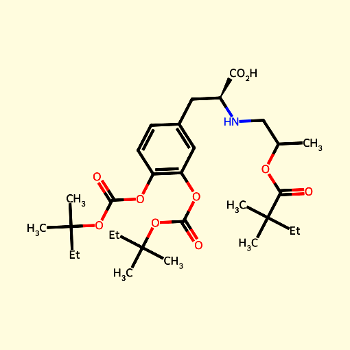 CCC(C)(C)OC(=O)Oc1ccc(C[C@H](NCC(C)OC(=O)C(C)(C)CC)C(=O)O)cc1OC(=O)OC(C)(C)CC